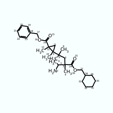 CC(N)C(C)(CC(C)(C)C1(C)CC1(C)C(=O)OCc1ccccc1)C(=O)OCC1CCCCC1